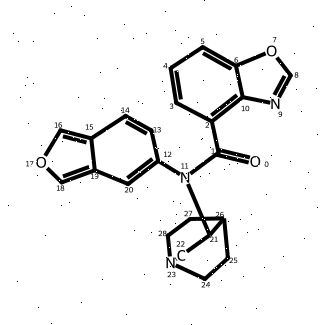 O=C(c1cccc2ocnc12)N(c1ccc2cocc2c1)C1CN2CCC1CC2